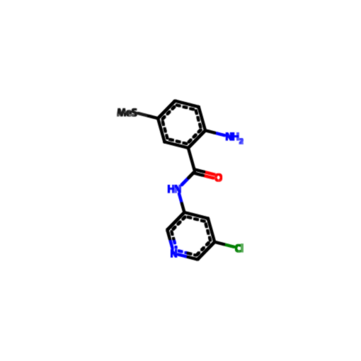 CSc1ccc(N)c(C(=O)Nc2cncc(Cl)c2)c1